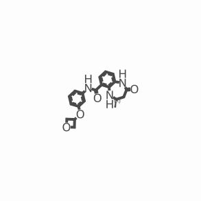 C[C@@H]1CC(=O)Nc2cccc(C(=O)Nc3cccc(OC4COC4)c3)c2N1